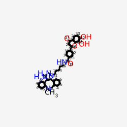 CN1Cc2ccccc2/C(N(N)CCCCCNC(=O)c2ccc(-c3cc(=O)c4ccc(O)c(O)c4o3)cc2)=C(/N)c2ccccc21